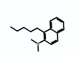 CCCCCc1c(N(C)C)ccc2ccccc12